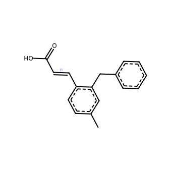 Cc1ccc(/C=C/C(=O)O)c(Cc2ccccc2)c1